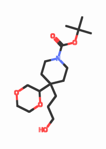 CC(C)(C)OC(=O)N1CCC(CCCO)(C2COCCO2)CC1